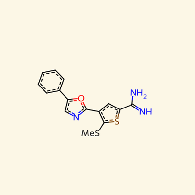 CSc1sc(C(=N)N)cc1-c1ncc(-c2ccccc2)o1